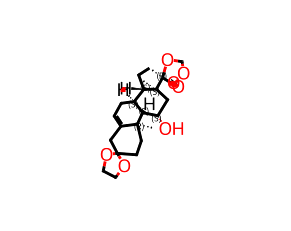 C[C@]12CCC3(CC1=CC[C@@H]1[C@@H]2[C@@H](O)C[C@@]2(C)[C@H]1CC[C@@]21OCOC12COCO2)OCCO3